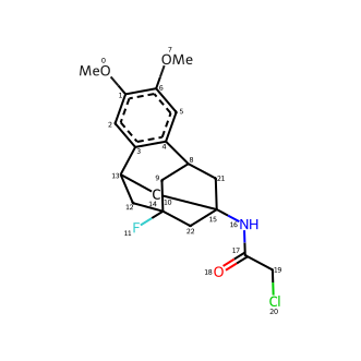 COc1cc2c(cc1OC)C1CC3(F)CC2CC(NC(=O)CCl)(C1)C3